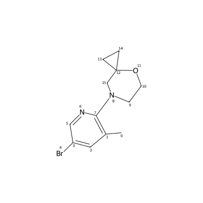 Cc1cc(Br)cnc1N1CCOC2(CC2)C1